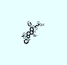 CC(=O)O[C@H]1[C@@H]([N+]2(C)CCCCC2)CC2C3CC[C@H]4C[C@H](OC(=O)CCC(=O)O)[C@@H](N5CCOCC5)C[C@]4(C)C3CC[C@@]21C.[Br-]